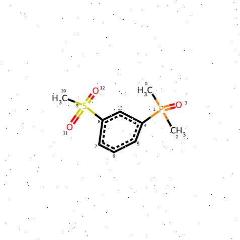 CP(C)(=O)c1[c]ccc(S(C)(=O)=O)c1